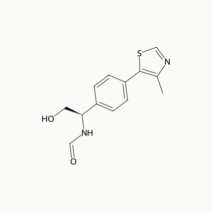 Cc1ncsc1-c1ccc([C@H](CO)NC=O)cc1